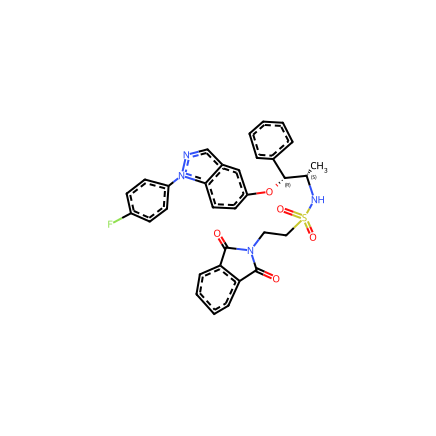 C[C@H](NS(=O)(=O)CCN1C(=O)c2ccccc2C1=O)[C@H](Oc1ccc2c(cnn2-c2ccc(F)cc2)c1)c1ccccc1